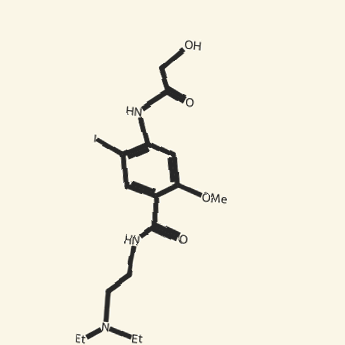 CCN(CC)CCNC(=O)c1cc(I)c(NC(=O)CO)cc1OC